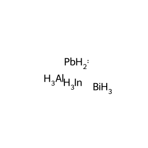 [AlH3].[BiH3].[InH3].[PbH2]